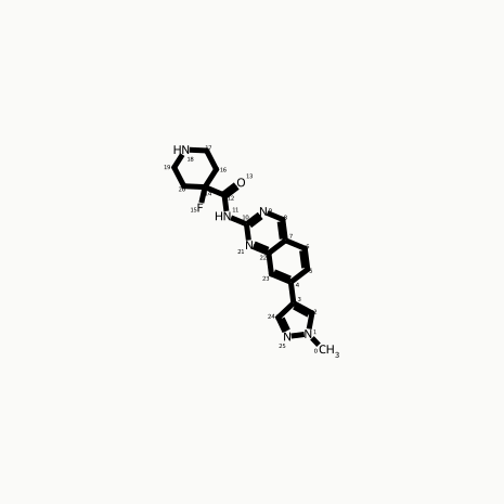 Cn1cc(-c2ccc3cnc(NC(=O)C4(F)CCNCC4)nc3c2)cn1